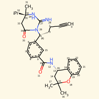 C#CCC[C@H](c1cccc(C(=O)N[C@H]2CC(C)(C)Oc3ccccc32)c1)N1C(=N)N[C@](C)(C(C)C)CC1=O